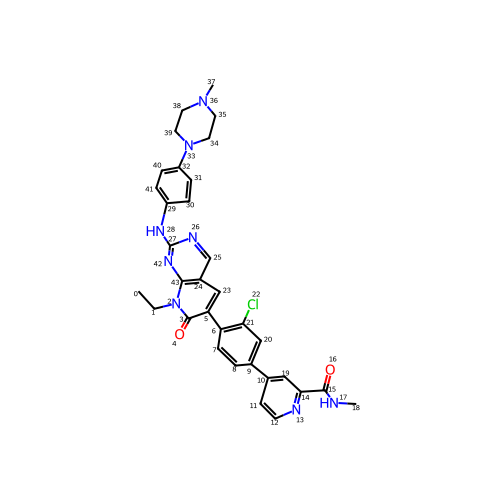 CCn1c(=O)c(-c2ccc(-c3ccnc(C(=O)NC)c3)cc2Cl)cc2cnc(Nc3ccc(N4CCN(C)CC4)cc3)nc21